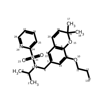 CC(C)N(Cc1cc2c(c(OCCF)c1)OC(C)(C)C=C2)S(=O)(=O)c1ccccn1